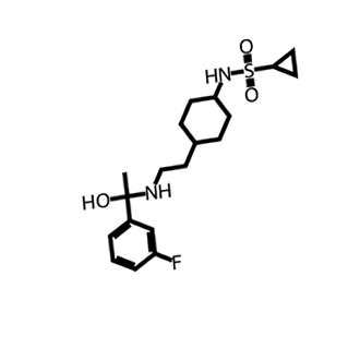 CC(O)(NCCC1CCC(NS(=O)(=O)C2CC2)CC1)c1cccc(F)c1